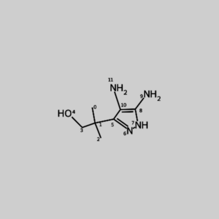 CC(C)(CO)c1n[nH]c(N)c1N